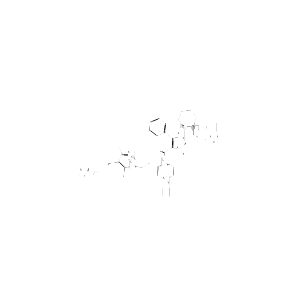 COC[C@]1(O)CCCC[C@H]1n1cnc(C(=O)N2CCNC[C@H]2CCn2nc(C)c(C(=O)OC)c2C)c1-c1ccccc1